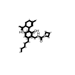 C=C(C)C1CCC(C)=CC1c1c(O)cc(CCCCC)c(CNC(=O)N2CCC2)c1O